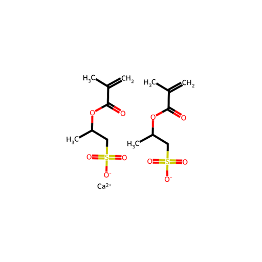 C=C(C)C(=O)OC(C)CS(=O)(=O)[O-].C=C(C)C(=O)OC(C)CS(=O)(=O)[O-].[Ca+2]